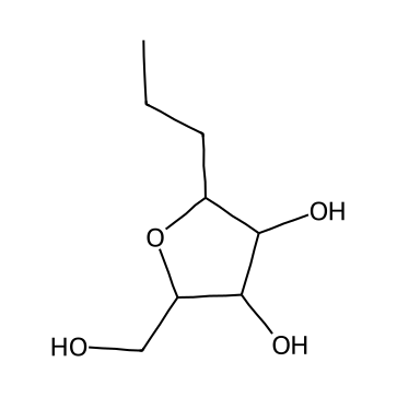 CCCC1OC(CO)C(O)C1O